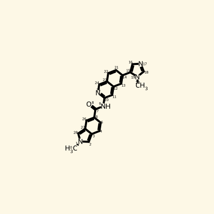 Cn1cc2ccc(C(=O)Nc3cc4cc(-c5cncn5C)ccc4cn3)cc2c1